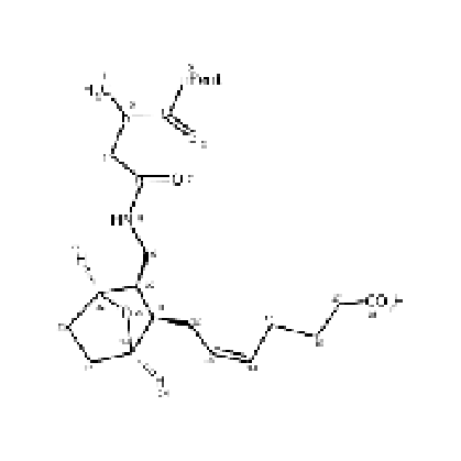 CCCCCC(=S)N(C)CC(=O)NC[C@H]1[C@@H](C/C=C\CCCC(=O)O)[C@H]2CC[C@@H]1O2